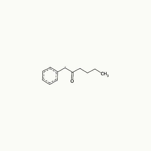 CCCCC(=O)[CH]c1ccccc1